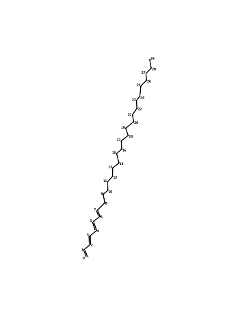 [CH]=CC=CC=CC=CCCCCCCCCCCCCCCCCCCCCCC